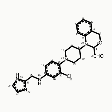 O=CC1OCc2ccccc2N1C1CCN(c2ccc(NCc3ncc[nH]3)cc2Cl)CC1